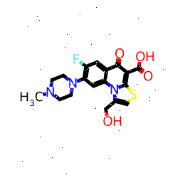 CN1CCN(c2cc3c(cc2F)c(=O)c(C(=O)O)c2scc(CO)n23)CC1